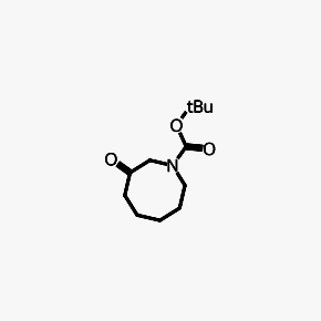 CC(C)(C)OC(=O)N1CCCCCC(=O)C1